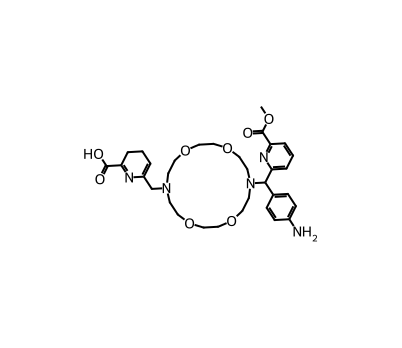 COC(=O)c1cccc(C(c2ccc(N)cc2)N2CCOCCOCCN(CC3=CCCC(C(=O)O)=N3)CCOCCOCC2)n1